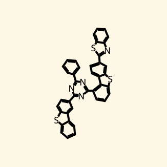 c1ccc(-c2nc(-c3ccc4sc5ccccc5c4c3)nc(-c3cccc4sc5cc(-c6nc7ccccc7s6)ccc5c34)n2)cc1